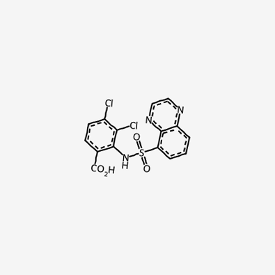 O=C(O)c1ccc(Cl)c(Cl)c1NS(=O)(=O)c1cccc2nccnc12